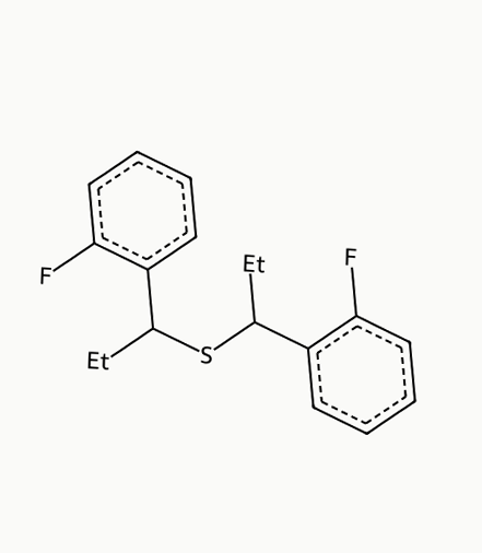 CCC(SC(CC)c1ccccc1F)c1ccccc1F